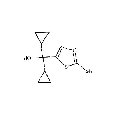 OC(c1cnc(S)s1)(C1CC1)C1CC1